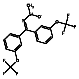 C[S+]([O-])N=C(c1cccc(OC(F)(F)F)c1)c1cccc(OC(F)(F)F)c1